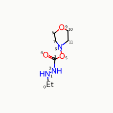 CCNNC(=O)ON1CCOCC1